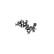 CCC1(O)C(=O)OCc2c1cc1n(c2=O)Cc2c-1nc1ccccc1c2CN1CCCC1=C=O